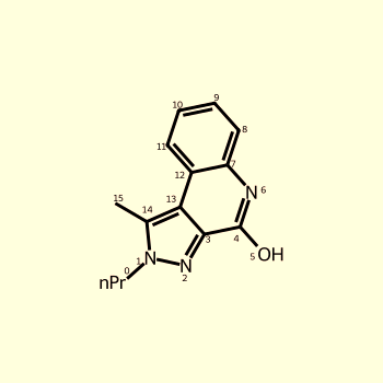 CCCn1nc2c(O)nc3ccccc3c2c1C